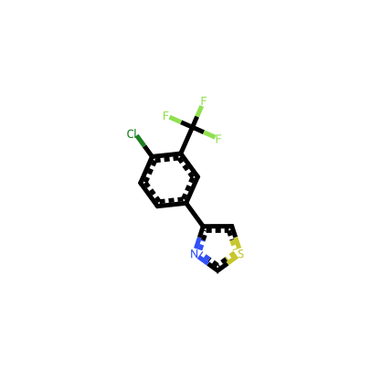 FC(F)(F)c1cc(-c2cs[c]n2)ccc1Cl